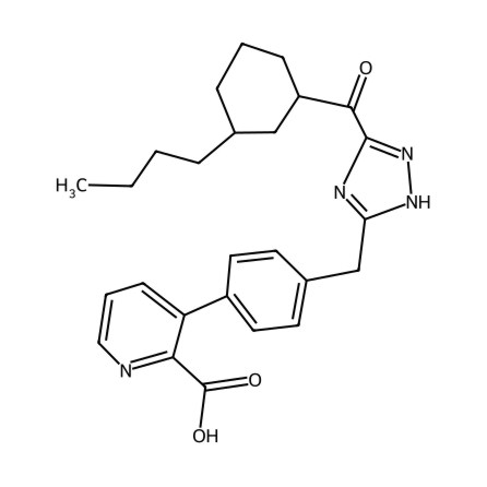 CCCCC1CCCC(C(=O)c2n[nH]c(Cc3ccc(-c4cccnc4C(=O)O)cc3)n2)C1